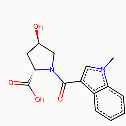 Cn1cc(C(=O)N2C[C@H](O)C[C@H]2C(=O)O)c2ccccc21